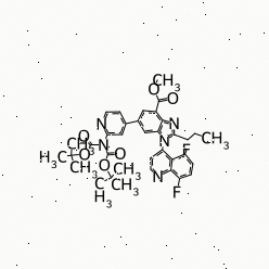 CCCc1nc2c(C(=O)OC)cc(-c3ccnc(N(C(=O)OC(C)(C)C)C(=O)OC(C)(C)C)c3)cc2n1-c1ccnc2c(F)ccc(F)c12